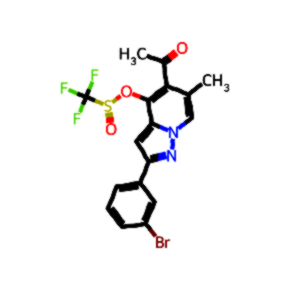 CC(=O)c1c(C)cn2nc(-c3cccc(Br)c3)cc2c1OS(=O)C(F)(F)F